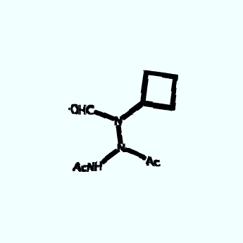 CC(=O)NN(C(C)=O)N([C]=O)C1CCC1